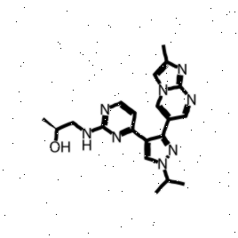 Cc1cn2cc(-c3nn(C(C)C)cc3-c3ccnc(NC[C@H](C)O)n3)cnc2n1